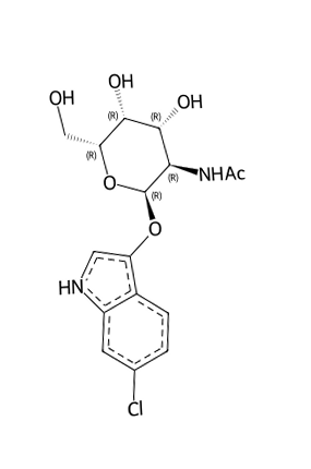 CC(=O)N[C@H]1[C@@H](Oc2c[nH]c3cc(Cl)ccc23)O[C@H](CO)[C@H](O)[C@@H]1O